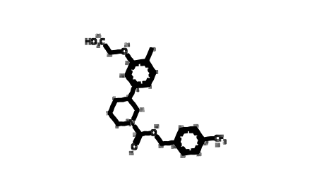 Cc1ccc(C2CCCN(C(=O)OCc3ccc(C(F)(F)F)cc3)C2)cc1OCC(=O)O